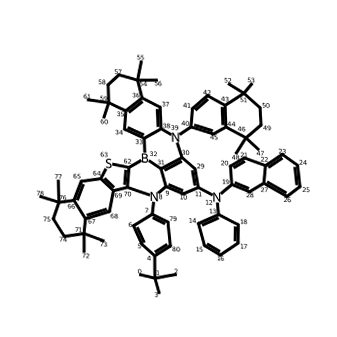 CC(C)(C)c1ccc(N2c3cc(N(c4ccccc4)c4ccc5ccccc5c4)cc4c3B(c3cc5c(cc3N4c3ccc4c(c3)C(C)(C)CCC4(C)C)C(C)(C)CCC5(C)C)c3sc4cc5c(cc4c32)C(C)(C)CCC5(C)C)cc1